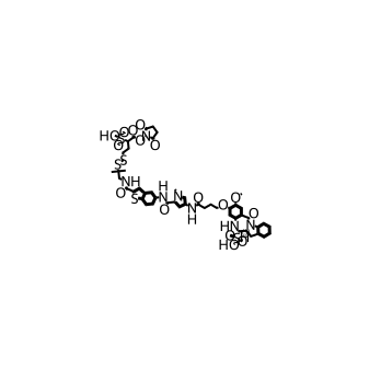 COc1cc2c(cc1OCCCC(=O)Nc1cc(C(=O)Nc3ccc4sc(C(=O)NCC(C)(C)SSCCC(C(=O)ON5C(=O)CCC5=O)S(=O)(=O)O)cc4c3)n(C)c1)NC(S(=O)(=O)O)[C@@H]1Cc3ccccc3N1C2=O